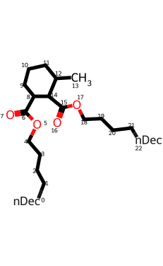 CCCCCCCCCCCCCCOC(=O)C1CCCC(C)C1C(=O)OCCCCCCCCCCCCCC